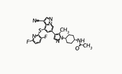 CC(=O)N[C@H]1CC[C@@H](n2ncc(-c3cc(Sc4nc(F)ccc4F)c4c(C#N)cnn4c3)c2C)CC1